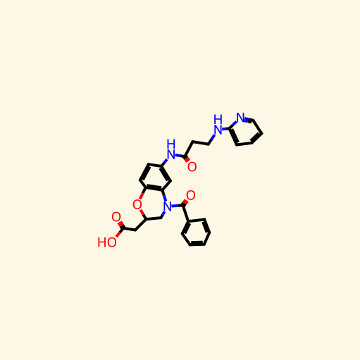 O=C(O)CC1CN(C(=O)c2ccccc2)c2cc(NC(=O)CCNc3ccccn3)ccc2O1